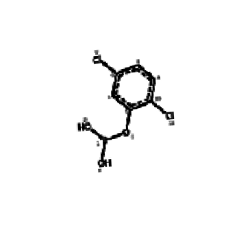 OB(O)Oc1cc(Cl)ccc1Cl